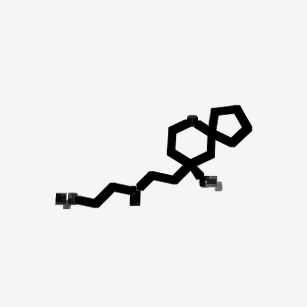 BCCNCC[C@]1(C)CCOC2(CCCC2)C1